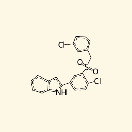 O=S(=O)(Cc1cccc(Cl)c1)c1cc(-c2cc3ccccc3[nH]2)ccc1Cl